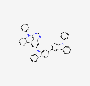 c1ccc(N2c3ccccc3-c3cc(-n4c5ccccc5c5ccc(-c6ccc7c(c6)c6ccccc6n7-c6ccccc6)cc54)cc4ncnc2c34)cc1